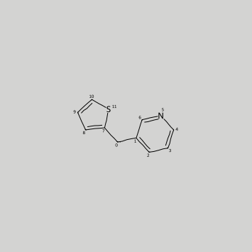 [CH](c1cccnc1)c1cccs1